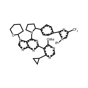 COc1ncnc(C2CC2)c1-c1nc(N2CCCC2c2ccc(-c3nc(C(F)(F)F)cn3C(C)C)cc2)c2c(ncn2C2CCCCO2)n1